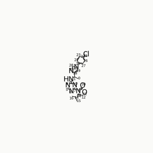 CC(Nc1ncnc(N2C(=O)OC[C@@H]2C(C)C)n1)c1cn(-c2ccc(Cl)cc2)cn1